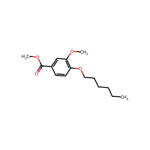 CCCCCCOc1ccc(C(=O)OC)cc1OC